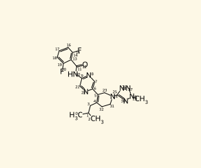 CC(C)CC1=C(c2cnc(NC(=O)c3c(F)cccc3F)cn2)CN(c2nnn(C)n2)CC1